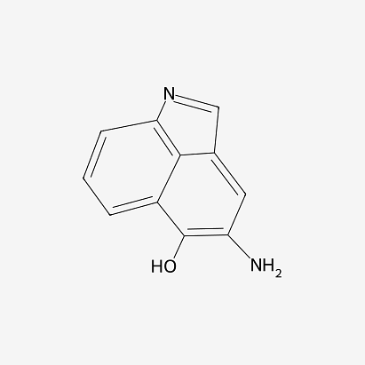 Nc1cc2c3c(cccc3c1O)N=C2